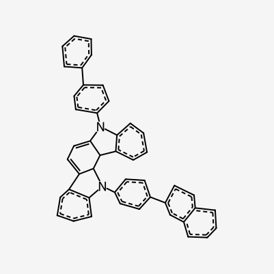 C1=C2c3ccccc3N(c3ccc(-c4ccc5ccccc5c4)cc3)C2C2C(=C1)N(c1ccc(-c3ccccc3)cc1)c1ccccc12